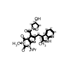 CCCn1c(=O)n(C)c(=O)c2c(C(=O)N3C[C@H](O)CO3)c(Cc3c(C)[nH]c4ncccc34)sc21